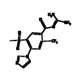 CS(=O)(=O)c1cc(C(=O)N=C(N)N)c(C(F)(F)F)cc1-n1ccnc1